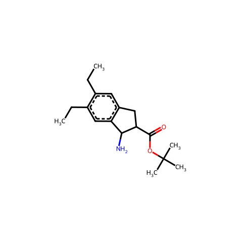 CCc1cc2c(cc1CC)C(N)C(C(=O)OC(C)(C)C)C2